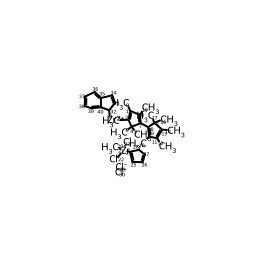 CC1=C(C)C(C)(C)C(C2=C(C)C(C)=C(C)C2(C)C)=C1C.[CH3][Zr]([Cl])([Cl])[C]1=CC=CC1.[Cl-].[Cl-].[Zr+2][CH]1C=Cc2ccccc21